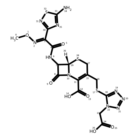 CON=C(C(=O)NC1C(=O)N2C(C(=O)O)=C(CSc3nnnn3CC(=O)O)CS[C@@H]12)c1nsc(N)n1